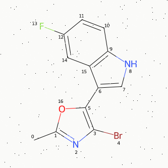 Cc1nc(Br)c(-c2c[nH]c3ccc(F)cc23)o1